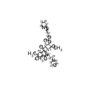 COc1cc2c(cc1OC(=O)OCCSSc1ccccn1)C(=O)c1c-2n(CCCN2CCOCC2)c(=O)c2cc(C)c(C)cc12